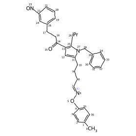 Cc1ccc(O/N=C/CCCc2cc(C(=O)CCc3cccc(N=O)c3)c(C(C)C)n2Cc2ccccc2)cc1